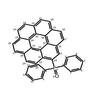 O=P(c1ccccc1)(c1ccccc1)c1cc2ccc3ccc4ccc5ccc6ccc1c1c6c5c4c3c21